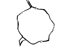 O=C1CCCCCCCCCC2CC2CCCC1